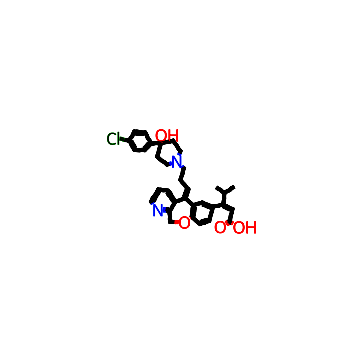 CC(C)/C(=C/C(=O)O)c1ccc2c(c1)/C(=C/CCN1CCC(O)(c3ccc(Cl)cc3)CC1)c1cccnc1CO2